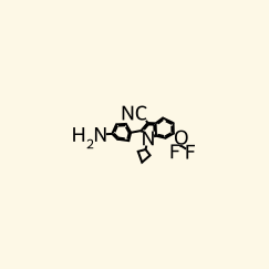 N#Cc1c(-c2ccc(N)cc2)n(C2CCC2)c2cc(OC(F)F)ccc12